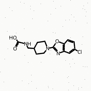 O=C(O)NCC1CCN(c2nc3cc(Cl)ccc3o2)CC1